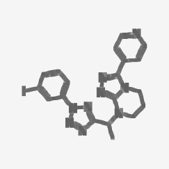 CC(c1nnn(-c2cccc(I)c2)n1)N1CCCn2c(-c3ccncc3)nnc21